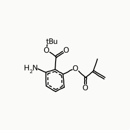 C=C(C)C(=O)Oc1cccc(N)c1C(=O)OC(C)(C)C